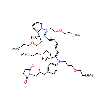 COCCOCCCN1/C(=C/C=C/C=C/C2=[N+](CCOCCOC)c3ccccc3C2(C)CCOCCOC)C(C)(CCOCCOC)c2cc(CC(=O)CN3C(=O)CCC3=O)ccc21